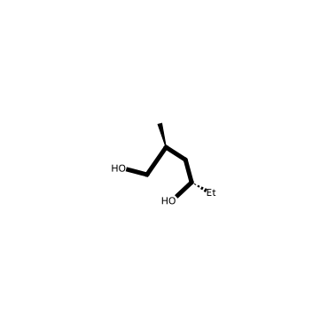 CC[C@H](O)C[C@H](C)CO